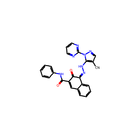 N#Cc1cnn(-c2ncccn2)c1N/N=C1\C(=O)C(C(=O)Nc2ccccc2)=Cc2ccccc21